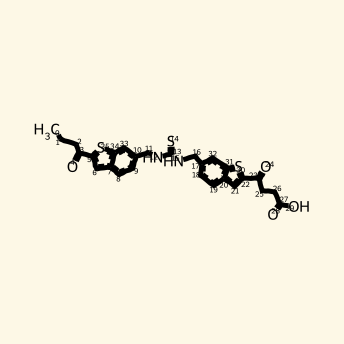 CCCC(=O)c1cc2ccc(CNC(=S)NCc3ccc4cc(C(=O)CCC(=O)O)sc4c3)cc2s1